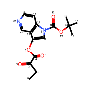 CCC(=O)C(=O)Oc1cn(C(=O)OC(C)(C)C)c2ccncc12